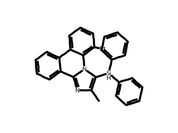 CCc1cccc2c3ccccc3c3nc(C)c([SiH](c4ccccc4)c4ccccc4)n3c12